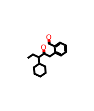 CCC(C(=O)Cc1ccccc1C=O)C1CCCCC1